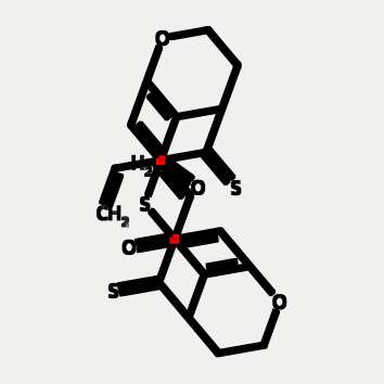 C=CC(=O)C1=C2C=C(SC3=CC4=C(C(=O)C=C)C(CCO4)C3=S)C(=S)C1CCO2